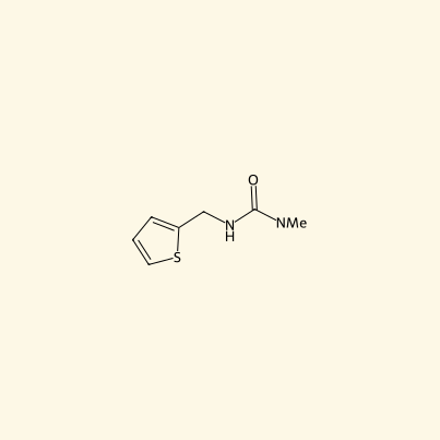 CNC(=O)NCc1cccs1